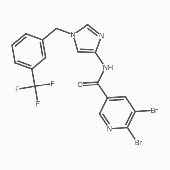 O=C(Nc1cn(Cc2cccc(C(F)(F)F)c2)cn1)c1cnc(Br)c(Br)c1